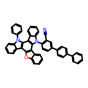 N#Cc1cc(-c2ccc(-c3ccccc3)cc2)ccc1-n1c2ccccc2c2c3c(c4ccccc4n3-c3ccccc3)c3oc4ccccc4c3c21